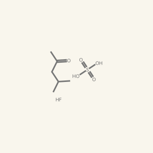 CC(=O)CC(C)C.F.O=S(=O)(O)O